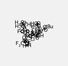 CC(C)(C)OC(=O)CCN(CC(=O)NS(=O)(=O)Cc1nn(CC(F)(F)F)c2c(-c3ccc(C#CC(C)(C)S(C)(=O)=O)nc3[C@H](Cc3cc(F)cc(F)c3)NC(=O)Cn3nc(C(F)(F)F)c4c3C(F)(F)[C@@H]3C[C@H]43)ccc(Cl)c12)C(=O)OCOP(=O)(O)O